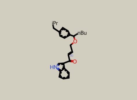 CCCCC(OC/C=C/C(=O)c1c[nH]c2ccccc12)c1ccc(CC(C)C)cc1